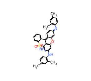 Cc1ccc(/N=c2\ccc3c(-c4ccccc4S(N)(=O)=O)c4ccc(Nc5ccc(C)cc5C)cc4oc-3c2)c(C)c1